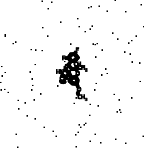 CCOc1ccc2c(c1)OC(C)(C)C(Cc1ccc(F)cc1F)[C@]21C(=O)Nc2ccccc21